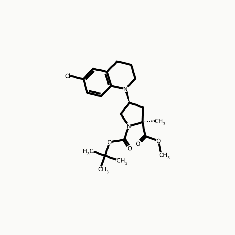 COC(=O)[C@]1(C)C[C@H](N2CCCc3cc(Cl)ccc32)CN1C(=O)OC(C)(C)C